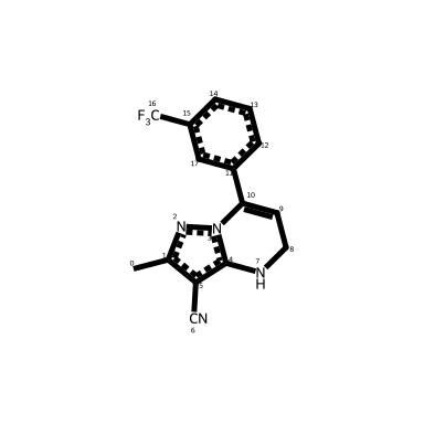 Cc1nn2c(c1C#N)NCC=C2c1cccc(C(F)(F)F)c1